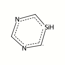 [c]1ncnc[siH]1